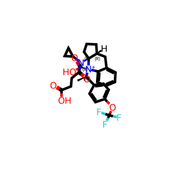 C[C@H](c1ccc(OC(F)(F)F)cc1)[N@@+]1(C(=O)O)c2ccccc2C[C@H]2CCC[C@]21N(C(=O)CCC(=O)O)C1CC1